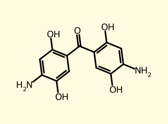 Nc1cc(O)c(C(=O)c2cc(O)c(N)cc2O)cc1O